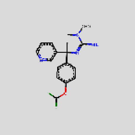 CN(C=O)/C(N)=N\C(C)(c1ccc(OC(F)F)cc1)c1cccnc1